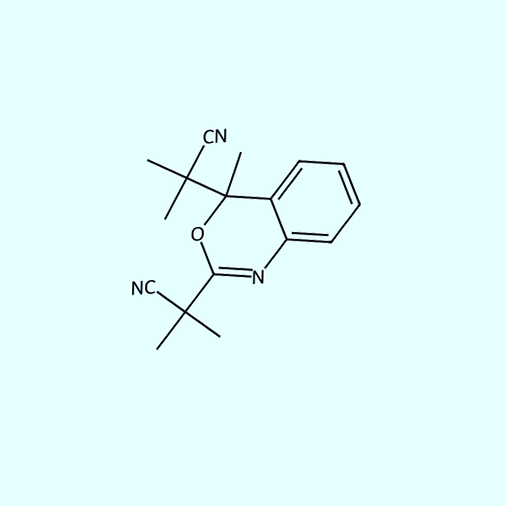 CC(C)(C#N)C1=Nc2ccccc2C(C)(C(C)(C)C#N)O1